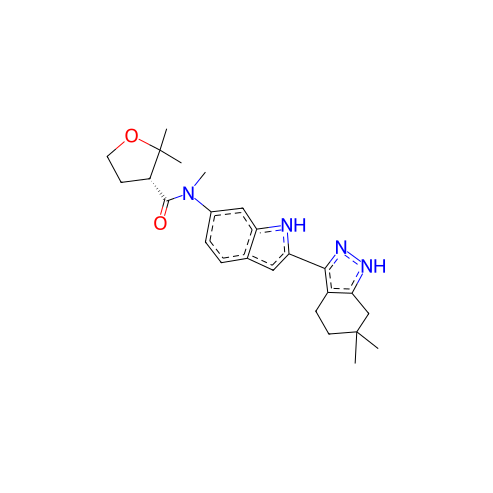 CN(C(=O)[C@@H]1CCOC1(C)C)c1ccc2cc(-c3n[nH]c4c3CCC(C)(C)C4)[nH]c2c1